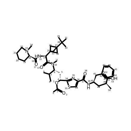 CC(=O)O[C@H](C[C@H](C(C)C)N(C)C(=O)[C@@H](NC(=O)[C@H]1CCCCN1C)C12CC(C(C)(C)C)(C1)C2)c1nc(C(=O)N[C@@H](Cc2ccccc2)C[C@H](C)C(=O)O)cs1